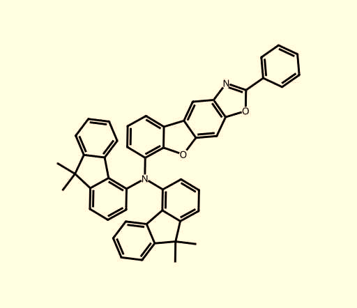 CC1(C)c2ccccc2-c2c(N(c3cccc4c3-c3ccccc3C4(C)C)c3cccc4c3oc3cc5oc(-c6ccccc6)nc5cc34)cccc21